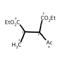 CCOC(=O)C(C)C(C(C)=O)C(=O)OCC